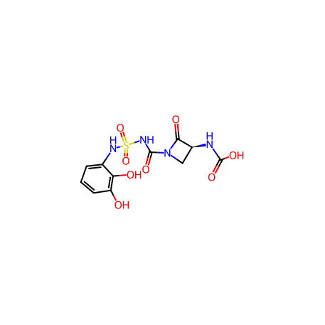 O=C(O)N[C@H]1CN(C(=O)NS(=O)(=O)Nc2cccc(O)c2O)C1=O